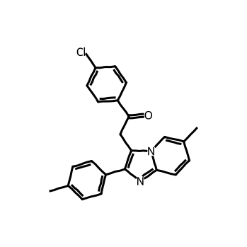 Cc1ccc(-c2nc3ccc(C)cn3c2CC(=O)c2ccc(Cl)cc2)cc1